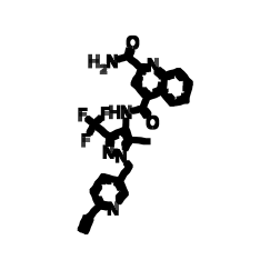 C#Cc1ccc(Cn2nc(C(F)(F)F)c(NC(=O)c3cc(C(N)=O)nc4ccccc34)c2C)cn1